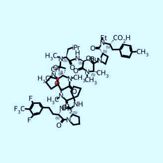 CC[C@H](C)[C@H](NC(=O)[C@H](CC(C)C)N(C)C(=O)C[C@@H](C(=O)N(C)C)N(C)C(=O)[C@H](C1CCCC1)N(C)C(=O)C1(NC(=O)[C@@H]2CCCN2C(=O)[C@@H](N)CCc2cc(F)c(C(F)(F)F)c(F)c2)CCCC1)C(=O)N(C)[C@@H](C)C(=O)N1CC[C@H]1C(=O)N(CC)[C@@H](Cc1ccc(C)cc1)C(=O)O